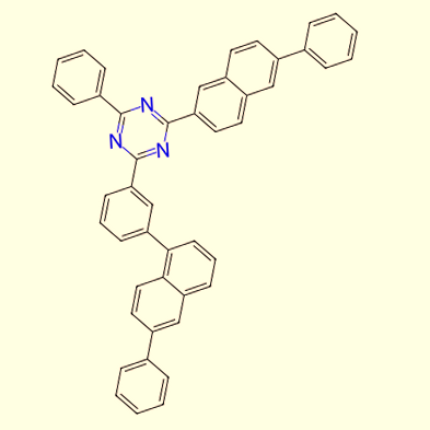 c1ccc(-c2ccc3cc(-c4nc(-c5ccccc5)nc(-c5cccc(-c6cccc7cc(-c8ccccc8)ccc67)c5)n4)ccc3c2)cc1